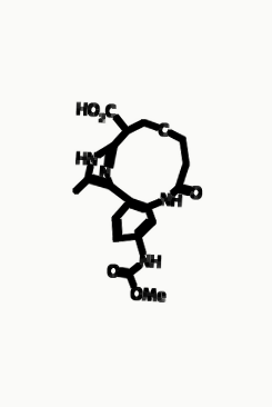 COC(=O)Nc1ccc2c(c1)NC(=O)CCCCC(C(=O)O)c1nc-2c(C)[nH]1